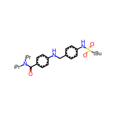 CC(C)N(C(=O)c1ccc(NCc2ccc(NS(=O)(=O)C(C)(C)C)cc2)cc1)C(C)C